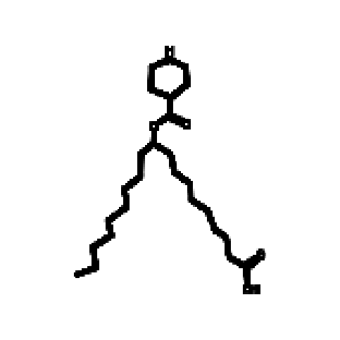 CCCCCCCCCC(CCCCCCCCC(=O)O)OC(=O)C1CCNCC1